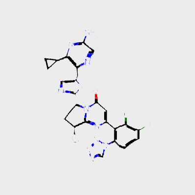 C[C@H]1C[C@H](c2ncc(-c3ncc(N)nc3C3CC3)[nH]2)n2c1nc(-c1c(-n3cnnn3)ccc(Cl)c1F)cc2=O